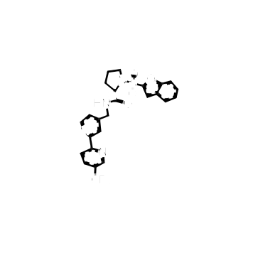 O=C(NCc1ccnc(-c2ccc(C(F)(F)F)cn2)c1)[C@@H]1CCCN1S(=O)(=O)c1cc2ccccc2o1